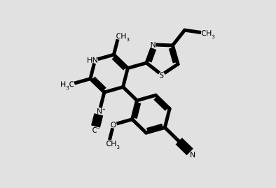 [C-]#[N+]C1=C(C)NC(C)=C(c2nc(CC)cs2)C1c1ccc(C#N)cc1OC